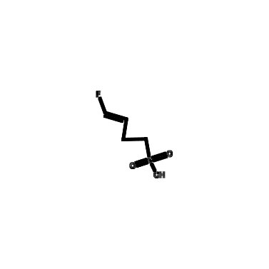 O=S(=O)(O)CCC=CF